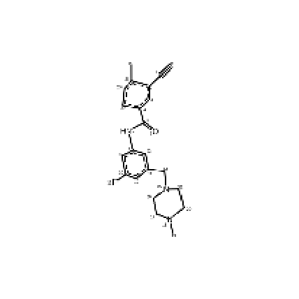 C#Cc1cc(C(=O)Nc2cc(F)cc(CN3CCN(C)CC3)c2)ccc1C